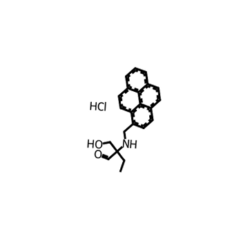 CCC(C=O)(CO)NCc1ccc2ccc3cccc4ccc1c2c34.Cl